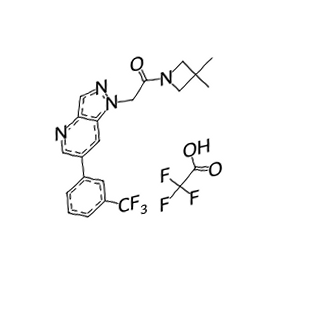 CC1(C)CN(C(=O)Cn2ncc3ncc(-c4cccc(C(F)(F)F)c4)cc32)C1.O=C(O)C(F)(F)F